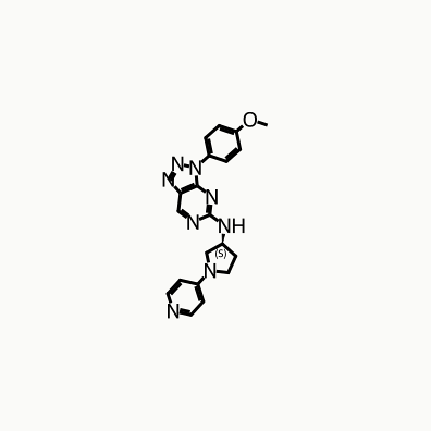 COc1ccc(-n2nnc3cnc(N[C@H]4CCN(c5ccncc5)C4)nc32)cc1